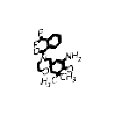 CC1(C)CC2(C=C(N)C1=O)CN(C(=O)c1ccccc1C(F)F)CCO2